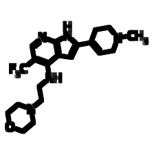 CN1CC=C(c2cc3c(NCCN4CCOCC4)c(C(F)(F)F)cnc3[nH]2)CC1